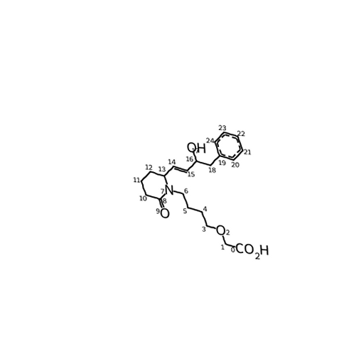 O=C(O)COCCCCN1C(=O)CCCC1C=CC(O)Cc1ccccc1